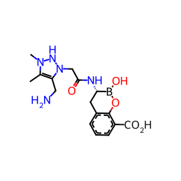 CC1=C(CN)N(CC(=O)N[C@H]2Cc3cccc(C(=O)O)c3OB2O)NN1C